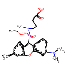 C=c1ccc2c(c1)Oc1cc(N(C)C)ccc1C=2P(=O)(OCC)N(C)CCC(=O)O